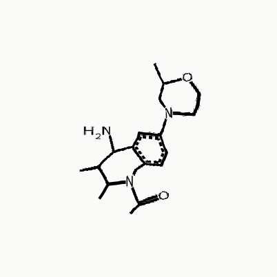 CC(=O)N1c2ccc(N3CCOC(C)C3)cc2C(N)C(C)C1C